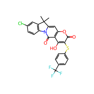 CC1(C)c2cc(Cl)ccc2-n2c1cc1oc(=O)c(Sc3ccc(C(F)(F)F)cc3)c(O)c1c2=O